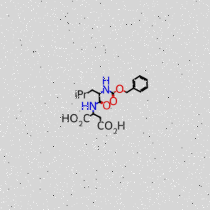 CC(C)CC(NC(=O)OCc1ccccc1)C(=O)NC(CC(=O)O)C(=O)O